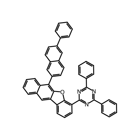 c1ccc(-c2ccc3cc(-c4c5ccccc5cc5c4oc4c(-c6nc(-c7ccccc7)nc(-c7ccccc7)n6)cccc45)ccc3c2)cc1